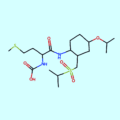 CSCCC(NC(=O)O)C(=O)NC1CCC(OC(C)C)CC1CS(=O)(=O)C(C)C